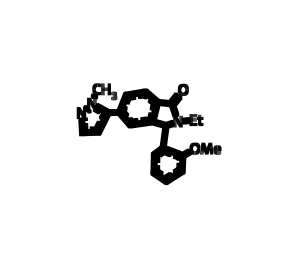 CCN1C(=O)c2ccc(-c3ccnn3C)cc2C1c1ccccc1OC